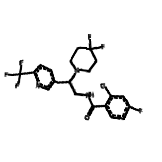 O=C(NCC(c1ccc(C(F)(F)F)nc1)N1CCC(F)(F)CC1)c1ccc(F)cc1Cl